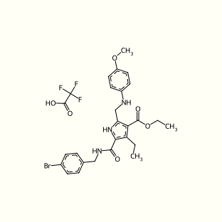 CCOC(=O)c1c(CNc2ccc(OC)cc2)[nH]c(C(=O)NCc2ccc(Br)cc2)c1CC.O=C(O)C(F)(F)F